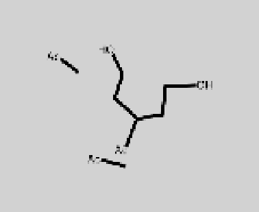 CC(=O)C(CCO)CCO.CC(C)=O.CC(C)=O